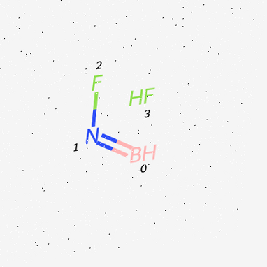 B=NF.F